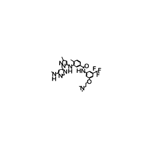 CNc1cc(-n2nc(C)cc2Nc2cc(C(=O)Nc3cc(OCCN(C)C)cc(C(F)(F)F)c3)ccc2C)ncn1